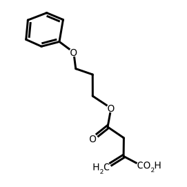 C=C(CC(=O)OCCCOc1ccccc1)C(=O)O